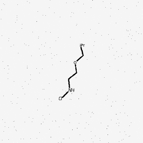 CC(C)COCCNCl